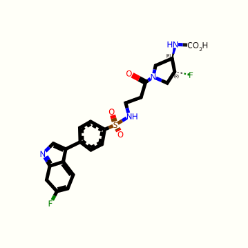 O=C(O)N[C@@H]1CN(C(=O)CCNS(=O)(=O)c2ccc(C3=CN=C4CC(F)=CC=C34)cc2)C[C@H]1F